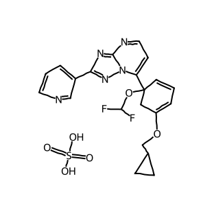 FC(F)OC1(c2ccnc3nc(-c4cccnc4)nn23)C=CC=C(OCC2CC2)C1.O=S(=O)(O)O